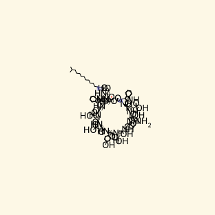 CC(C)CCCCCCCCCC/C=C/C(=O)N[C@@H](CO)C(=O)N[C@@H]1C(=O)N[C@H](Cc2c[nH]c3ccccc23)C(=O)N[C@@H](CC(=O)O)C(=O)N[C@@H](CC(=O)O)C(=O)N[C@H](c2ccc(O)cc2)C(=O)N[C@@H](CC(=O)O)C(O)NCC(=O)N[C@H]([C@H](O)C(N)=O)C(=O)N[C@H](CCC(=O)O)C(=O)N/C(=C\c2c[nH]c3ccccc23)C(=O)O[C@@H]1C